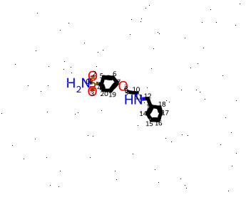 NS(=O)(=O)c1ccc(OCCNCc2ccccc2)cc1